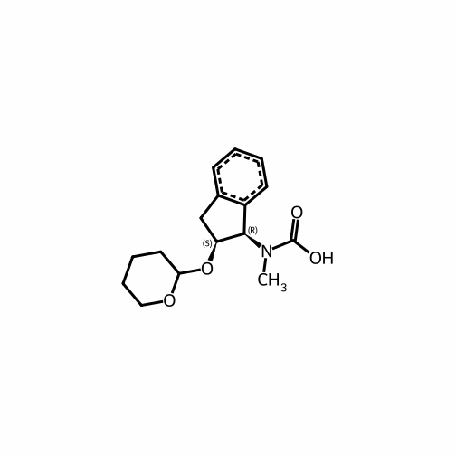 CN(C(=O)O)[C@@H]1c2ccccc2C[C@@H]1OC1CCCCO1